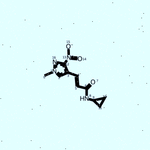 Cn1cc(/C=C/C(=O)NC2CC2)c([N+](=O)[O-])n1